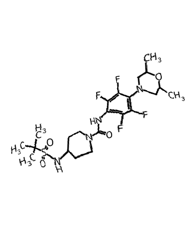 CC1CN(c2c(F)c(F)c(NC(=O)N3CCC(NS(=O)(=O)C(C)(C)C)CC3)c(F)c2F)CC(C)O1